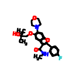 CNC(=O)c1c(-c2ccc(F)cc2)oc2cc(N3CCOCC3)c(OCC(C)(C)O)cc12